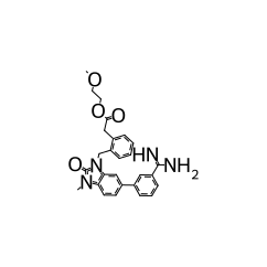 COCCOC(=O)Cc1ccccc1Cn1c(=O)n(C)c2ccc(-c3cccc(C(=N)N)c3)cc21